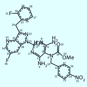 C=C(/N=C(/N)C(=C(N)N)N(Cc1ccc([N+](=O)[O-])cc1)C(=O)OC)n1nc(Cc2ccccc2F)c2ncc(F)cc21